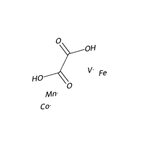 O=C(O)C(=O)O.[Co].[Fe].[Mn].[V]